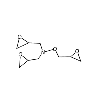 C1OC1CON(CC1CO1)CC1CO1